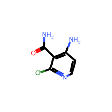 NC(=O)c1c(N)ccnc1Cl